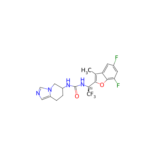 Cc1c([C@H](NC(=O)NC2CCc3cncn3C2)C(F)(F)F)oc2c(F)cc(F)cc12